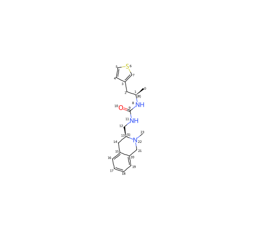 C[C@H](Cc1ccsc1)NC(=O)NC[C@@H]1Cc2ccccc2CN1C